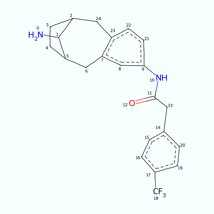 NC1C2CCC1Cc1cc(NC(=O)Cc3ccc(C(F)(F)F)cc3)ccc1C2